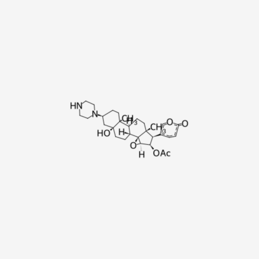 CC(=O)O[C@H]1[C@H]2O[C@]23[C@@H]2CC[C@]4(O)C[C@@H](N5CCNCC5)CC[C@]4(C)[C@H]2CC[C@]3(C)[C@H]1c1ccc(=O)oc1